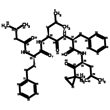 CC(C)C[C@H](NC(=O)[C@H](CCc1ccccc1)NC(=O)CN(C)C)C(=O)N[C@@H](Cc1ccccc1)C(=O)N[C@@H](CC(C)C)C(=O)C1(C)CC1